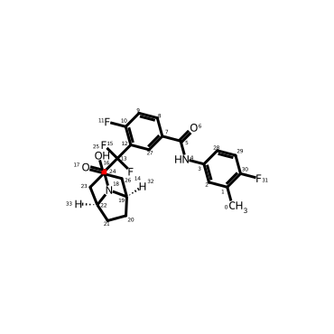 Cc1cc(NC(=O)c2ccc(F)c(C(F)(F)C(=O)N3[C@@H]4CC[C@H]3CC(O)C4)c2)ccc1F